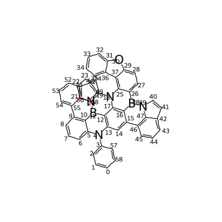 c1ccc(N2c3cccc4c3B(c3c2cc2c5c3N(c3ccccc3)c3c(ccc6oc7ccccc7c36)B5n3ccc5cccc-2c53)n2ccc3cccc-4c32)cc1